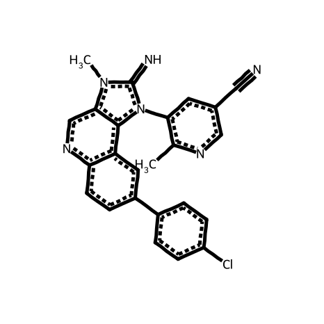 Cc1ncc(C#N)cc1-n1c(=N)n(C)c2cnc3ccc(-c4ccc(Cl)cc4)cc3c21